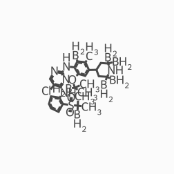 Bc1c(C)c(C2CC(B)(B)NC(B)(B)C2)cc(OC(B)(C)C)c1Nc1ncc(Cl)c(Nc2ccccc2S(=O)(=O)C(B)(C)C)n1